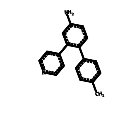 Cc1ccc(-c2ccc(N)cc2-c2ccncc2)cc1